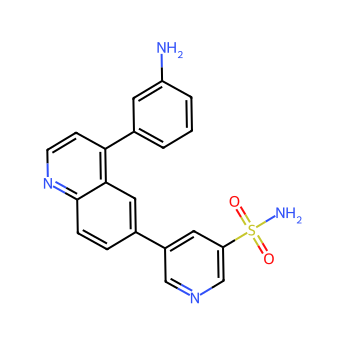 Nc1cccc(-c2ccnc3ccc(-c4cncc(S(N)(=O)=O)c4)cc23)c1